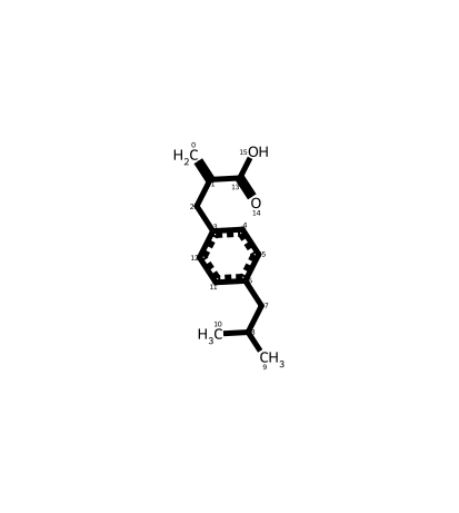 C=C(Cc1ccc(CC(C)C)cc1)C(=O)O